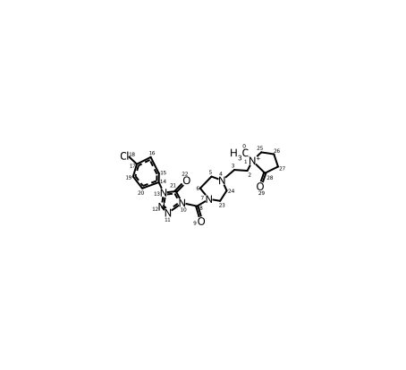 C[N+]1(CCN2CCN(C(=O)n3nnn(-c4ccc(Cl)cc4)c3=O)CC2)CCCC1=O